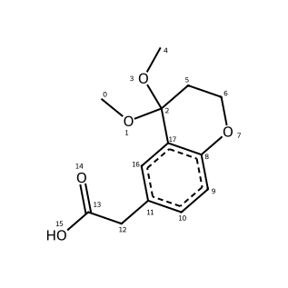 COC1(OC)CCOc2ccc(CC(=O)O)cc21